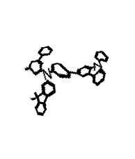 CC1CC(c2ccccc2)=CC(N(c2ccc(-c3ccc4c(c3)c3ccccc3n4-c3ccccc3)cc2)c2ccc3c(c2)C(C)(C)c2ccccc2-3)C1